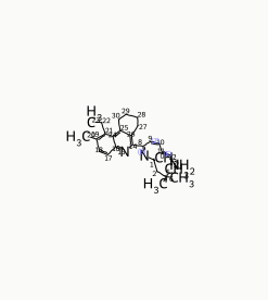 C=C(CC(C)(C)C)\N=C(/C=C\C=C\N)c1nc2ccc(C)c(CC)c2c2c1CCCC2